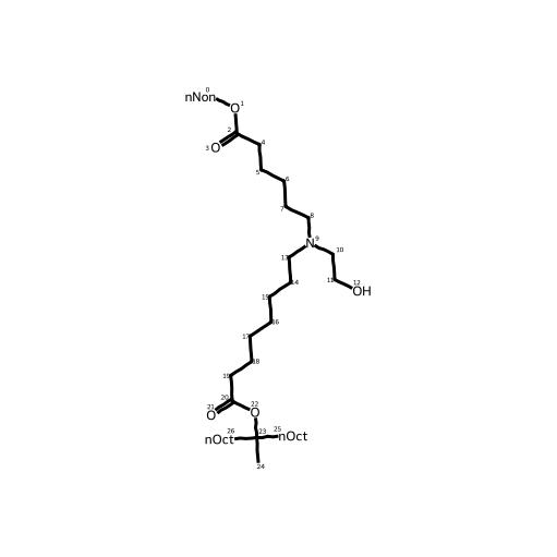 CCCCCCCCCOC(=O)CCCCCN(CCO)CCCCCCCC(=O)OC(C)(CCCCCCCC)CCCCCCCC